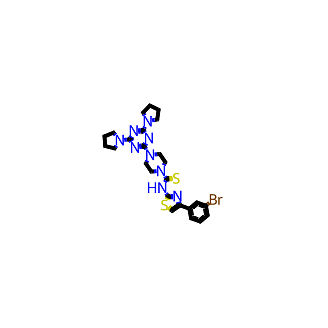 S=C(Nc1nc(-c2cccc(Br)c2)cs1)N1CCN(c2nc(N3CCCC3)nc(N3CCCC3)n2)CC1